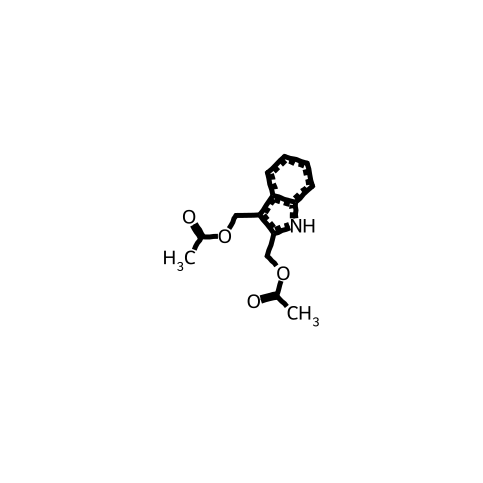 CC(=O)OCc1[nH]c2ccccc2c1COC(C)=O